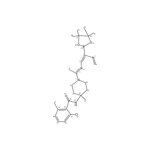 C=N/C(=C\N=C(/C)N1CCC(C)(NC(=O)c2c(C)cccc2Cl)CC1)B1OC(C)(C)C(C)(C)O1